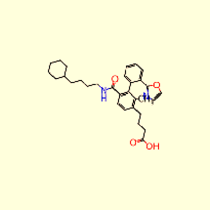 Cc1c(CCCC(=O)O)ccc(C(=O)NCCCCC2CCCCC2)c1-c1ccccc1-c1ncco1